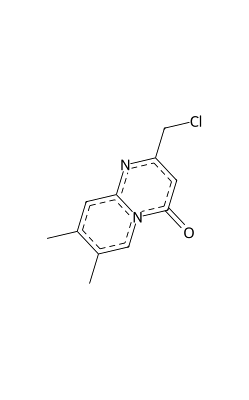 Cc1cc2nc(CCl)cc(=O)n2cc1C